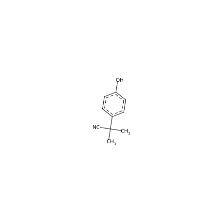 CC(C)(C#N)c1ccc(O)cc1